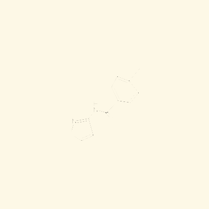 Cc1ccc(C(=O)Nc2ccon2)cc1